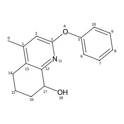 Cc1cc(Oc2ccccc2)nc2c1CCCC2O